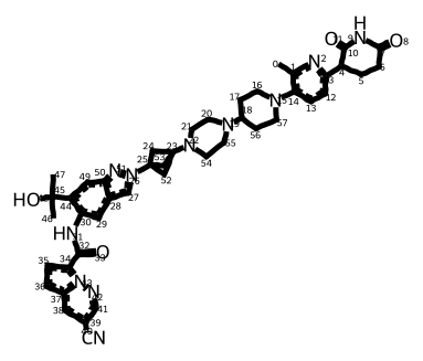 Cc1nc(C2CCC(=O)NC2=O)ccc1N1CCC(N2CCN(C34CC(n5cc6cc(NC(=O)c7ccc8cc(C#N)cnn78)c(C(C)(C)O)cc6n5)(C3)C4)CC2)CC1